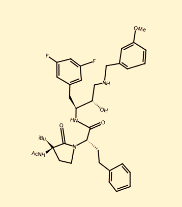 CC[C@H](C)[C@@]1(NC(C)=O)CCN([C@@H](CCc2ccccc2)C(=O)N[C@@H](Cc2cc(F)cc(F)c2)[C@@H](O)CNCc2cccc(OC)c2)C1=O